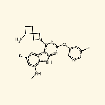 CNc1cc(F)cc2c1[nH]c1nc(Oc3cncc(F)c3)nc(N3CC4(CCC4N)C3)c12